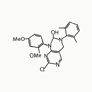 COc1ccc(N2c3nc(Cl)ncc3CN(c3c(C)cccc3C)C2O)c(OC)c1